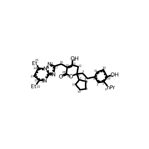 CCCc1cc(CCC2(C3CCCC3)CC(O)=C(Cc3nc4nc(CC)cc(CC)n4n3)C(=O)O2)ccc1O